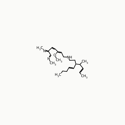 C/C=C/C(C)C(/C=C/CCC)CCNC/C=C(/C=C\C(\C=N\C)=N/C)OC